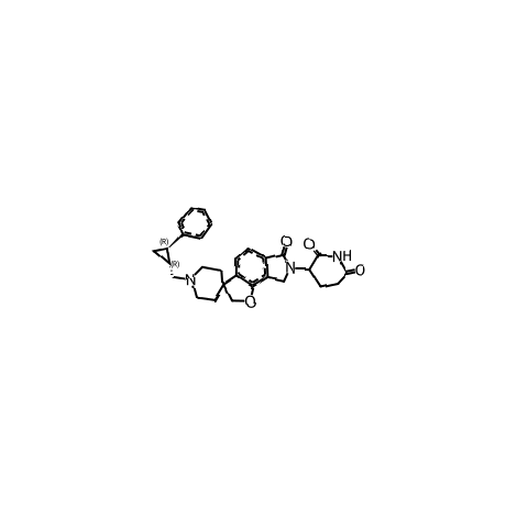 O=C1CCC(N2Cc3c(ccc4c3OCC43CCN(C[C@@H]4C[C@H]4c4ccccc4)CC3)C2=O)C(=O)N1